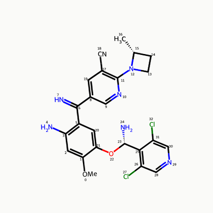 COc1cc(N)c(C(=N)c2cnc(N3CC[C@H]3C)c(C#N)c2)cc1O[C@H](N)c1c(Cl)cncc1Cl